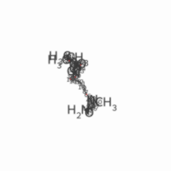 Cc1nn(CCCCCCCCC#Cc2cccc3c2CN(C2CCC(=O)N(COCC[Si](C)(C)C)C2=O)C3=O)c2cc(C(N)=O)ccc12